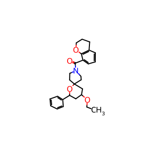 CCOC1CC(c2ccccc2)OC2(CCN(C(=O)c3cccc4c3OCCC4)CC2)C1